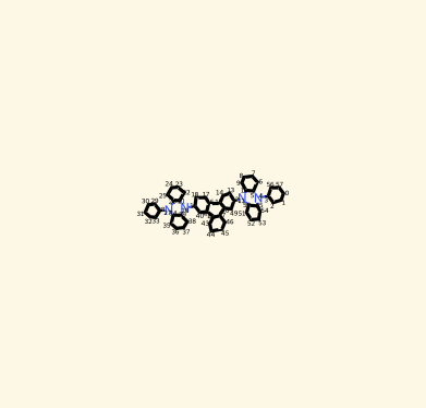 c1ccc(N2c3ccccc3N(c3ccc4c5ccc(N6c7ccccc7N(c7ccccc7)c7ccccc76)cc5c5ccccc5c4c3)c3ccccc32)cc1